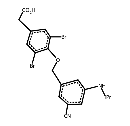 CC(C)Nc1cc(C#N)cc(COc2c(Br)cc(CC(=O)O)cc2Br)c1